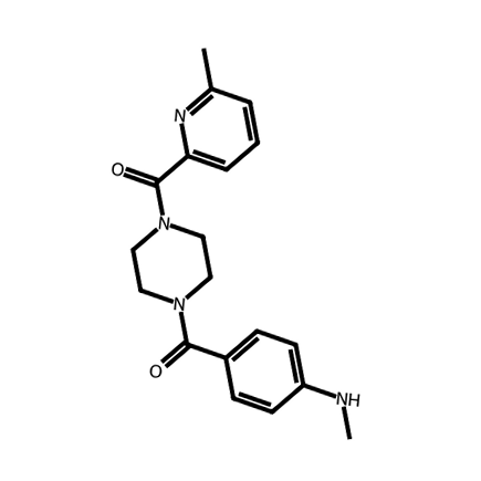 CNc1ccc(C(=O)N2CCN(C(=O)c3cccc(C)n3)CC2)cc1